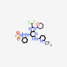 CN(c1ccccc1Nc1cc(Nc2cccc(C(F)(F)F)n2)nc2c1nc(C(F)F)n2C1CCCCO1)S(C)(=O)=O